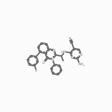 CC(Nc1nc(N)ncc1C#N)c1nc2cccc(-c3cccc(F)c3)c2c(=O)n1-c1ccccc1